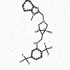 Cn1c(CN2C[C@@H]3C(CNc4cc(C(F)(F)F)ccc4C(F)(F)F)[C@@H]3C2)nc2ccccc21